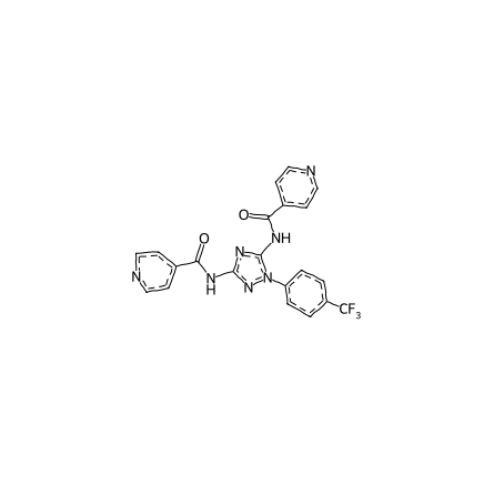 O=C(Nc1nc(NC(=O)c2ccncc2)n(-c2ccc(C(F)(F)F)cc2)n1)c1ccncc1